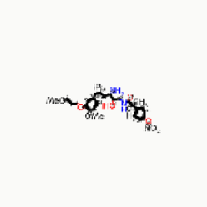 COCCCOc1cc(C[C@@H](C[C@H](N)[C@@H](O)CNC(=O)C(C)(C)C2CCC(O[N+](=O)[O-])CC2)C(C)C)ccc1OC